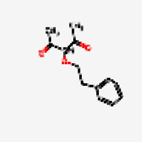 CC(=O)[SiH](OCCc1ccccc1)C(C)=O